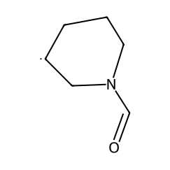 O=CN1C[CH]CCC1